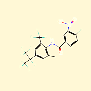 Cc1cc(C(F)(C(F)(F)F)C(F)(F)F)cc(C(F)(F)F)c1NC(=O)c1ccc(F)c([N+](=O)[O-])c1